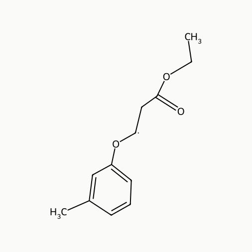 CCOC(=O)C[CH]Oc1cccc(C)c1